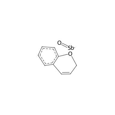 C1=Cc2ccccc2OC1.[O]=[Sb]